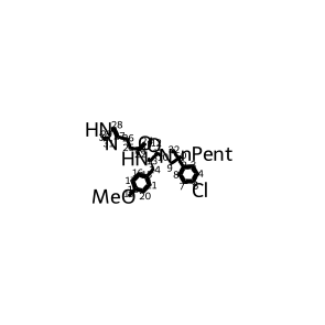 CCCCCC1(c2ccc(Cl)cc2)CN(C(=O)[C@@H](Cc2ccc(OC)cc2)NC(=O)CCc2c[nH]cn2)C1